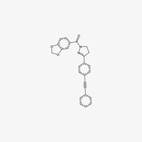 O=C(c1ccc2c(c1)OCO2)N1CCC(c2ccc(C#Cc3ccccc3)cc2)=N1